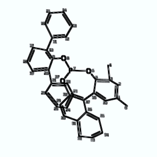 Cc1cc(C)c2op(Oc3c(-c4ccccc4)cccc3-c3ccccc3)oc3ccc4ccccc4c3c2c1